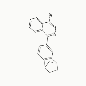 Brc1cnc(-c2ccc3c(c2)C2CCC3C2)c2ccccc12